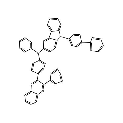 c1ccc(-c2ccc(-n3c4ccccc4c4cc(N(c5ccccc5)c5ccc(-c6nc7ccccc7nc6-c6ccccc6)cc5)ccc43)cc2)cc1